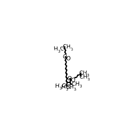 CC(C)CCCOC(=O)CCCCCCCCCCCC(C(C)C)C(C(=O)OCCCC(C)C)C(C)C